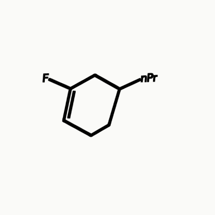 CCCC1CCC=C(F)C1